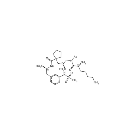 CC(=O)N(C[C@H](CC1(C(=O)N[C@@H](Cc2cccc(NS(C)(=O)=O)c2)C(=O)O)CCCC1)C(=O)O)C(=O)[C@@H](N)CCCCN